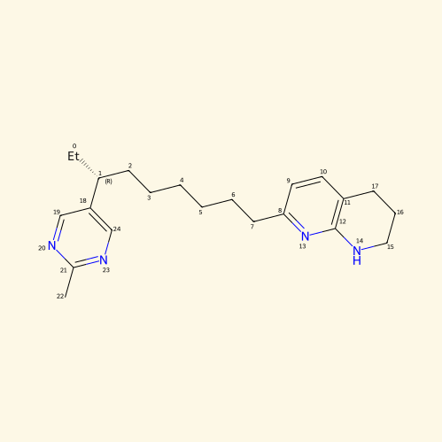 CC[C@H](CCCCCCc1ccc2c(n1)NCCC2)c1cnc(C)nc1